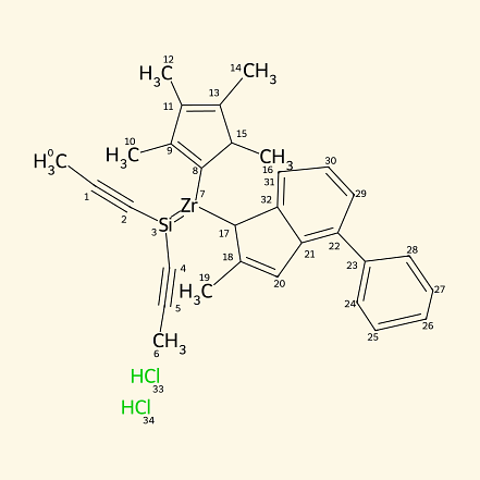 CC#C[Si](C#CC)=[Zr]([C]1=C(C)C(C)=C(C)C1C)[CH]1C(C)=Cc2c(-c3ccccc3)cccc21.Cl.Cl